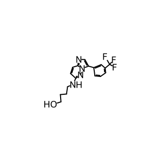 OCCCCNc1ccc2ncc(-c3cccc(C(F)(F)F)c3)n2n1